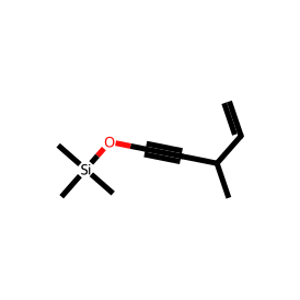 C=CC(C)C#CO[Si](C)(C)C